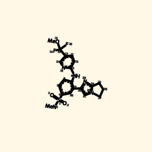 CNS(=O)(=O)c1ccc(Nc2ccc(C(F)(F)OC)cn2)c(-c2cn3c(n2)CCC3)c1